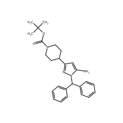 CC(C)(C)OC(=O)N1CCC(c2cc(N)n(C(c3ccccc3)c3ccccc3)n2)CC1